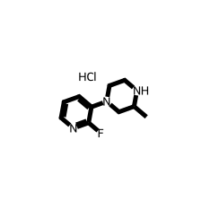 CC1CN(c2cccnc2F)CCN1.Cl